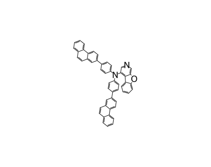 c1ccc2c(c1)ccc1cc(-c3ccc(N(c4ccc(-c5ccc6c(ccc7ccccc76)c5)cc4)c4cncc5oc6ccccc6c45)cc3)ccc12